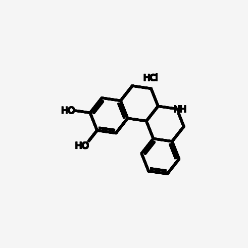 Cl.Oc1cc2c(cc1O)C1c3ccccc3CNC1CC2